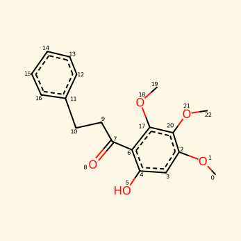 COc1cc(O)c(C(=O)CCc2ccccc2)c(OC)c1OC